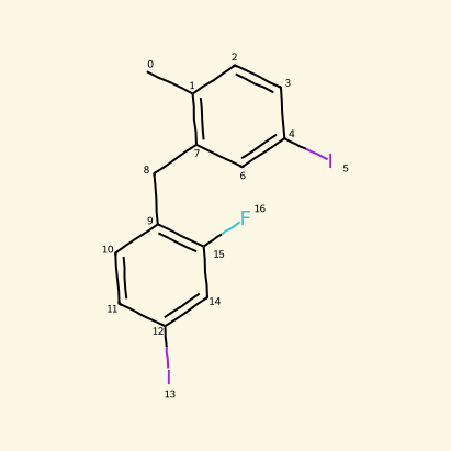 Cc1ccc(I)cc1Cc1ccc(I)cc1F